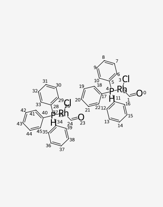 O=[CH][Rh]([Cl])[PH](c1ccccc1)(c1ccccc1)c1ccccc1.O=[CH][Rh]([Cl])[PH](c1ccccc1)(c1ccccc1)c1ccccc1